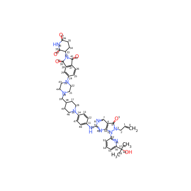 C=CCn1c(=O)c2cnc(Nc3ccc(N4CCC(CN5CCN(c6ccc7c(c6)C(=O)N(C6CCC(=O)NC6=O)C7=O)CC5)CC4)cc3)nc2n1-c1cccc(C(C)(C)O)n1